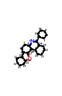 c1ccc(-c2nc3ccc4c5ccccc5oc4c3c3ccccc23)cc1